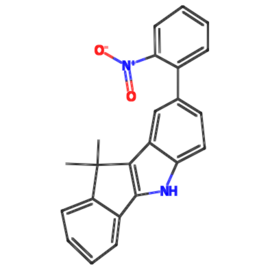 CC1(C)c2ccccc2-c2[nH]c3ccc(-c4ccccc4[N+](=O)[O-])cc3c21